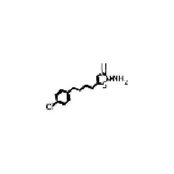 NN1NC=C(CCCCc2ccc(Cl)cc2)S1